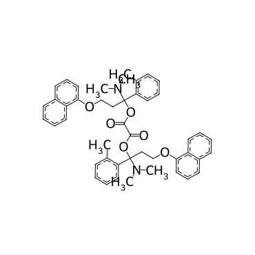 Cc1ccccc1C(CCOc1cccc2ccccc12)(OC(=O)C(=O)OC(CCOc1cccc2ccccc12)(c1ccccc1C)N(C)C)N(C)C